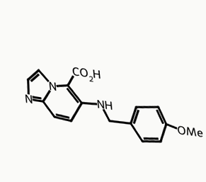 COc1ccc(CNc2ccc3nccn3c2C(=O)O)cc1